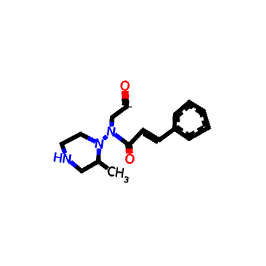 CC1CNCCN1N(C[C]=O)C(=O)/C=C/c1ccccc1